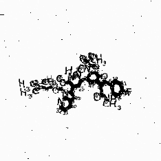 CNC(=O)c1c(-c2ccc(F)cc2)oc2cc(N(C)S(C)(=O)=O)c(-c3cc(-c4cc5cccnc5n4COCCS(C)(C)C)c(OC)nn3)cc12